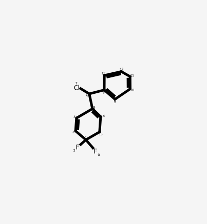 FC1(F)C=CC(C(Cl)c2ccccc2)=CC1